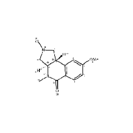 COc1ccc2c(c1)[C@H]1CN(Cl)C[C@@H]1N(C)C2=O